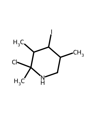 CC1CNC(C)(Cl)C(C)C1I